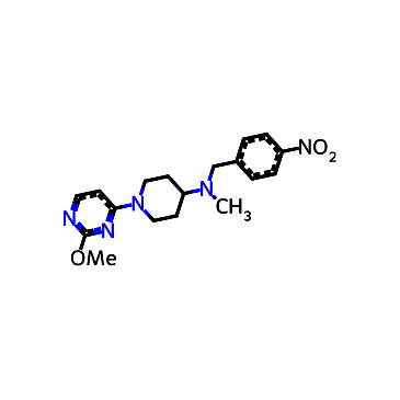 COc1nccc(N2CCC(N(C)Cc3ccc([N+](=O)[O-])cc3)CC2)n1